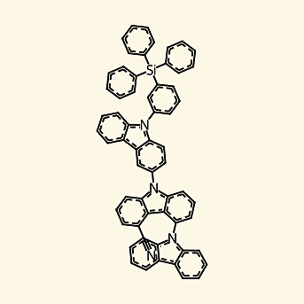 N#Cc1cccc2c1c1c(-n3c4ccccc4c4ccccc43)cccc1n2-c1ccc2c(c1)c1ccccc1n2-c1cccc([Si](c2ccccc2)(c2ccccc2)c2ccccc2)c1